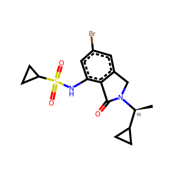 C[C@@H](C1CC1)N1Cc2cc(Br)cc(NS(=O)(=O)C3CC3)c2C1=O